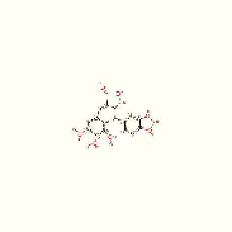 COc1cc(/C=C2/C(=O)OC[C@@H]2Cc2ccc3c(c2)OCO3)cc(OC)c1OC